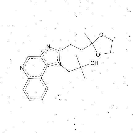 CC(C)(O)Cn1c(CCC2(C)OCCO2)nc2cnc3ccccc3c21